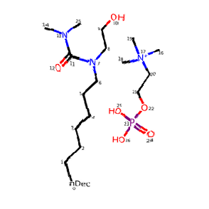 CCCCCCCCCCCCCCCCN(CCO)C(=O)N(C)C.C[N+](C)(C)CCOP(=O)(O)O